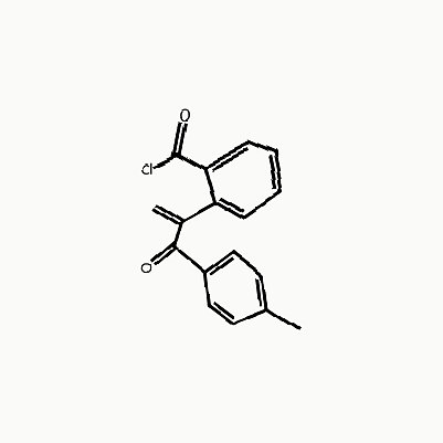 C=C(C(=O)c1ccc(C)cc1)c1ccccc1C(=O)Cl